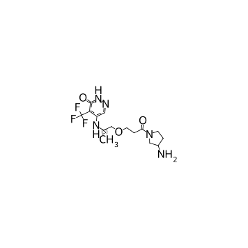 C[C@@H](COCCC(=O)N1CCC(N)C1)Nc1cn[nH]c(=O)c1C(F)(F)F